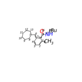 CC1=CC=CC(=CC2CCCCCC2)C1C(=O)NC(C)(C)C